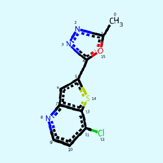 Cc1nnc(-c2cc3nccc(Cl)c3s2)o1